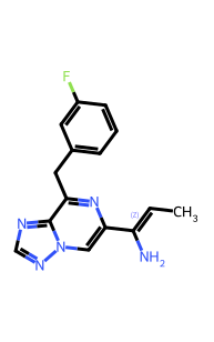 C/C=C(\N)c1cn2ncnc2c(Cc2cccc(F)c2)n1